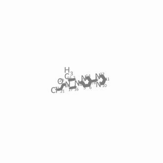 C[C@@H]1CN(c2ccc(-c3ncccn3)cn2)CCN1C(=O)CCl